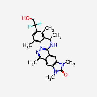 Cc1cc([C@@H](C)Nc2nnc(C)c3cc4c(cc23)n(C)c(=O)n4C)c(C)c(C(F)(F)CO)c1